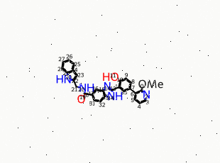 COc1ncccc1-c1ccc(O)c(-c2nc3cc(C(=O)NCc4cc5ccccc5[nH]4)ccc3[nH]2)c1